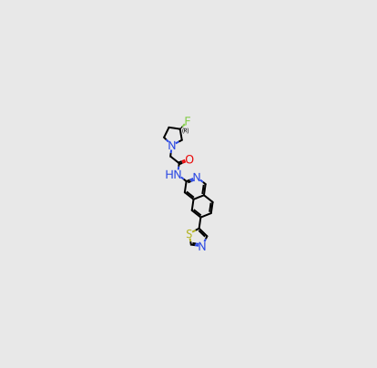 O=C(CN1CC[C@@H](F)C1)Nc1cc2cc(-c3cncs3)ccc2cn1